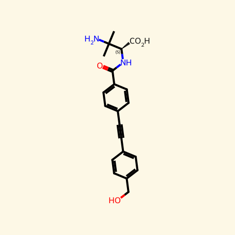 CC(C)(N)[C@H](NC(=O)c1ccc(C#Cc2ccc(CO)cc2)cc1)C(=O)O